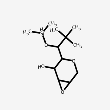 C[SiH](C)OC(C1OCC2OC2C1O)C(C)(C)C